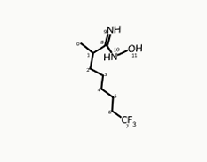 CC(CCCCCC(F)(F)F)C(=N)NO